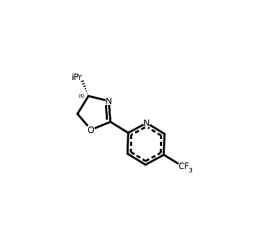 CC(C)[C@H]1COC(c2ccc(C(F)(F)F)cn2)=N1